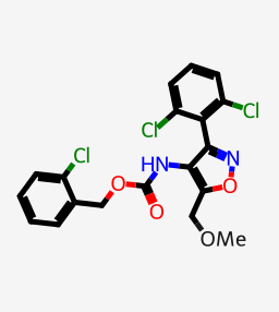 COCc1onc(-c2c(Cl)cccc2Cl)c1NC(=O)OCc1ccccc1Cl